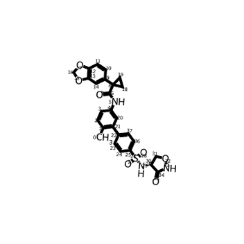 Cc1ccc(NC(=O)C2(c3ccc4c(c3)OCO4)CC2)cc1-c1ccc(S(=O)(=O)N[C@@H]2CONC2=O)cc1